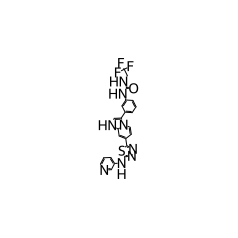 O=C(NCC(F)(F)F)Nc1cccc(C2=CNC3C=C(c4nnc(Nc5cccnc5)s4)C=CN23)c1